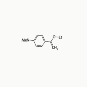 C=C(OCC)c1ccc(NC)cc1